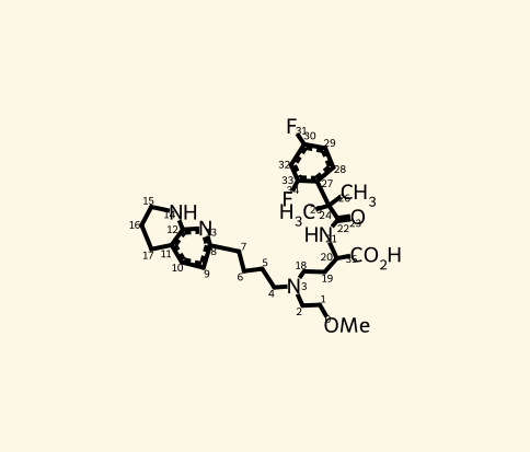 COCCN(CCCCc1ccc2c(n1)NCCC2)CCC(NC(=O)C(C)(C)c1ccc(F)cc1F)C(=O)O